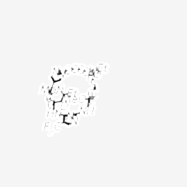 CCOP1(=O)Cc2ccc(c(OC)c2)Nc2ncc(C(F)(F)F)c(n2)Nc2ccc(cc2C(=O)C(CC)NC)-c2cnn(c2)CCCO1